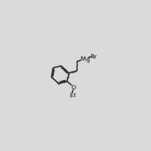 CCOc1ccccc1C[CH2][Mg][Br]